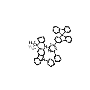 CC1(C)c2ccccc2N(c2nc(-c3ccccc3)nc(-c3ccc4c(c3)-c3ccccc3C43c4ccccc4-c4ccccc43)n2)c2cc3c(cc21)c1ccccc1n3-c1ccccc1